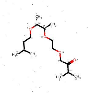 CC(C)CCO[C@H](C)[C@@H](C)OCCOCC(=O)C(C)C